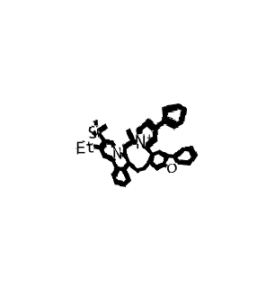 C=C1CC2C(CCc3cc4oc5ccccc5c4cc3-c3cc(-c4ccccc4)cc[n+]31)c1ccccc1-c1cc(CC)c([Si](C)(C)C)c[n+]12